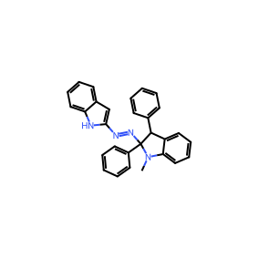 CN1c2ccccc2C(c2ccccc2)C1(N=Nc1cc2ccccc2[nH]1)c1ccccc1